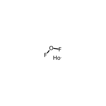 FOF.[Ho]